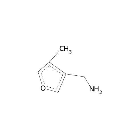 Cc1cocc1CN